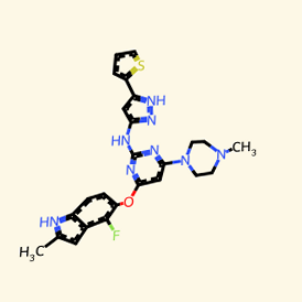 Cc1cc2c(F)c(Oc3cc(N4CCN(C)CC4)nc(Nc4cc(-c5cccs5)[nH]n4)n3)ccc2[nH]1